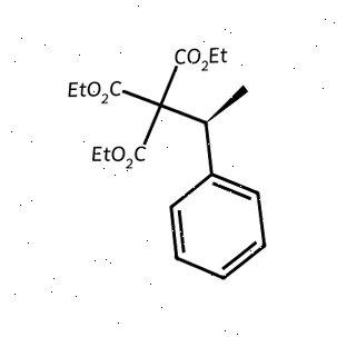 CCOC(=O)C(C(=O)OCC)(C(=O)OCC)[C@@H](C)c1ccccc1